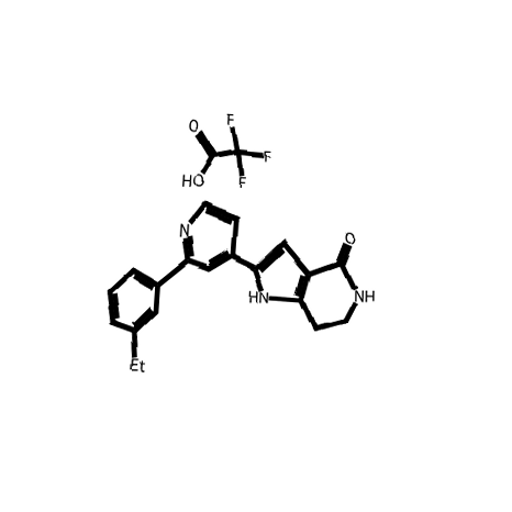 CCc1cccc(-c2cc(-c3cc4c([nH]3)CCNC4=O)ccn2)c1.O=C(O)C(F)(F)F